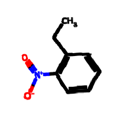 CCc1[c]cccc1[N+](=O)[O-]